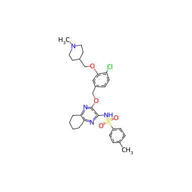 Cc1ccc(S(=O)(=O)Nc2nc3c(nc2OCc2ccc(Cl)c(OCC4CCN(C)CC4)c2)CCCC3)cc1